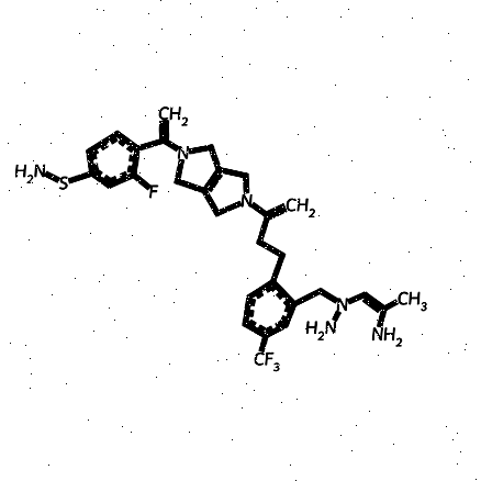 C=C(CCc1ccc(C(F)(F)F)cc1CN(N)/C=C(/C)N)N1CC2=C(C1)CN(C(=C)c1ccc(SN)cc1F)C2